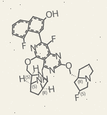 Oc1cc(-c2nc3c4c(nc(OC[C@]56CCCN5C[C@@H](F)C6)nc4c2F)N2C[C@H]4CC[C@H](N4)[C@H]2CO3)c2c(F)cccc2c1